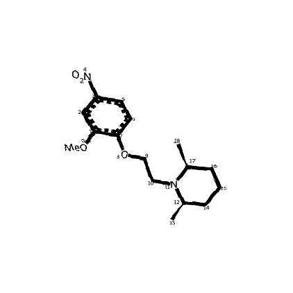 COc1cc([N+](=O)[O-])ccc1OCCN1[C@H](C)CCC[C@@H]1C